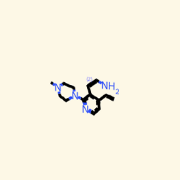 C=Cc1ccnc(N2CCN(C)CC2)c1/C=C\N